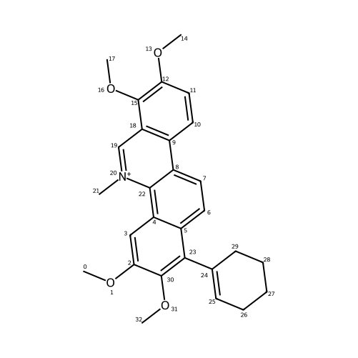 COc1cc2c(ccc3c4ccc(OC)c(OC)c4c[n+](C)c23)c(C2=CCCCC2)c1OC